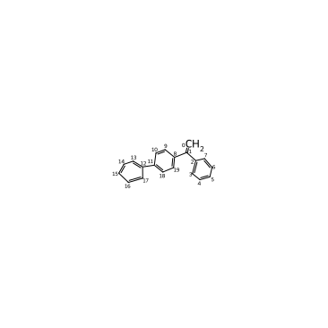 C=C(c1ccccc1)c1ccc(-c2ccccc2)cc1